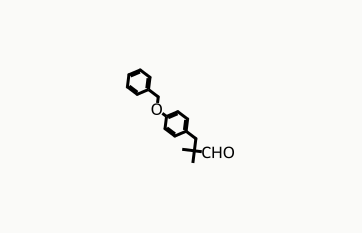 CC(C)(C=O)Cc1ccc(OCc2ccccc2)cc1